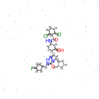 O=C(Nc1ccc(-c2cc(C3CCCC3)n(C(=O)NCc3ccc(F)cc3)n2)c(O)c1)c1c(Cl)cccc1Cl